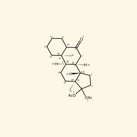 CC(=O)OC1(OC(C)=O)CC[C@H]2[C@@H]3CC(=O)C4CCCC[C@]4(C)[C@@H]3CC[C@@]21C